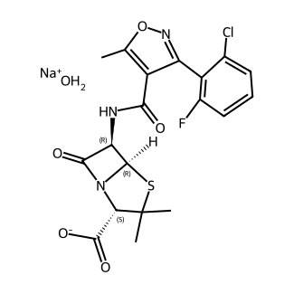 Cc1onc(-c2c(F)cccc2Cl)c1C(=O)N[C@@H]1C(=O)N2[C@@H]1SC(C)(C)[C@@H]2C(=O)[O-].O.[Na+]